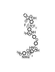 [2H]Oc1ccc(C(c2ccc(O)c(NC(=O)c3ccc(Oc4ccc(C(=O)Nc5cc(C(c6ccc(O)c(N7C(=O)C8C9C=CC(C9)C8C7=O)c6)(C(F)(F)F)C(F)(F)F)ccc5O[2H])cc4)cc3)c2)(C(F)(F)F)C(F)(F)F)cc1NC